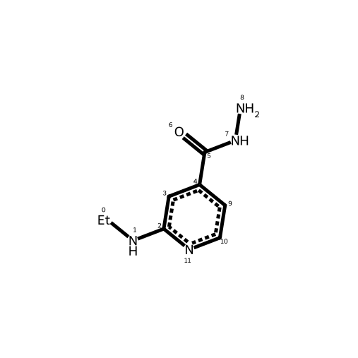 CCNc1cc(C(=O)NN)ccn1